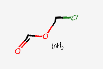 O=COCCl.[InH3]